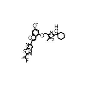 COc1cc(OCc2nc(C3(O)CCCCC3)sc2C)c2cc(-c3cn4nc([C@H](C)F)sc4n3)oc2c1